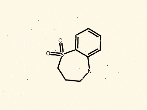 O=S1(=O)CCC[N]c2ccccc21